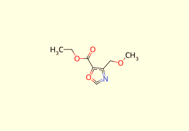 CCOC(=O)c1ocnc1COC